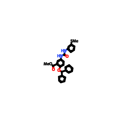 COC(=O)c1cc(NC(=O)Nc2cccc(SC)c2)ccc1OC(c1ccccc1)c1ccccc1